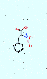 NC(Cc1ccccc1)C(=O)O.O[B]O